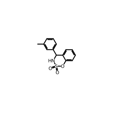 Cc1cccc(C2NS(=O)(=O)Oc3ccccc32)c1